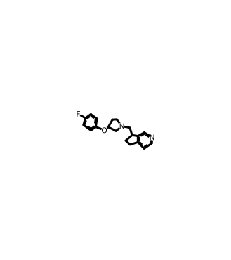 Fc1ccc(OC2CCN(CC3CCc4ccncc43)C2)cc1